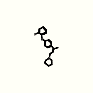 CC(=CCN1CCCCC1)c1ccc(Oc2ccccc2F)cc1